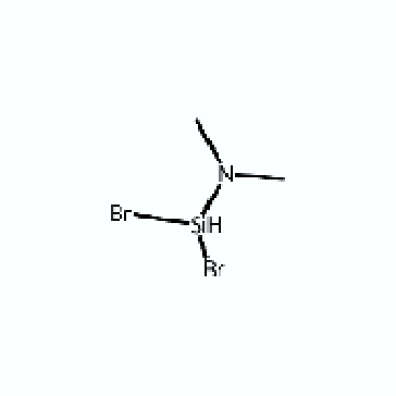 CN(C)[SiH](Br)Br